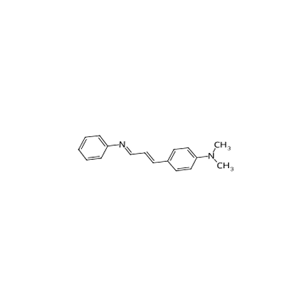 CN(C)c1ccc(/C=C/C=N/c2ccccc2)cc1